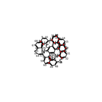 FC(F)(F)c1c(N2C(c3ccccc3)=CSc3ccccc32)c(N2C(c3ccccc3)=CSc3ccccc32)c(N2C(c3ccccc3)=CSc3ccccc32)c(C(F)(F)F)c1N1C(c2ccccc2)=CSc2ccccc21